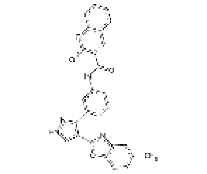 Cc1ccc2oc(-c3c[nH]nc3-c3cccc(NC(=O)c4cc5ccccc5oc4=O)c3)nc2c1